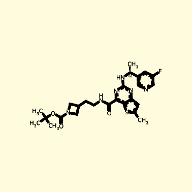 Cc1cc2nc(N[C@@H](C)c3cncc(F)c3)nc(C(=O)NCCC3CN(C(=O)OC(C)(C)C)C3)c2s1